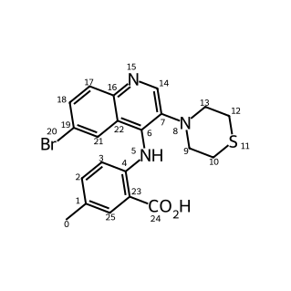 Cc1ccc(Nc2c(N3CCSCC3)cnc3ccc(Br)cc23)c(C(=O)O)c1